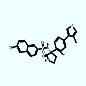 Cc1cscc1-c1ccc([C@@]2(NS(=O)(=O)c3ccc4cc(Cl)ccc4c3)CCNC2=O)c(F)c1